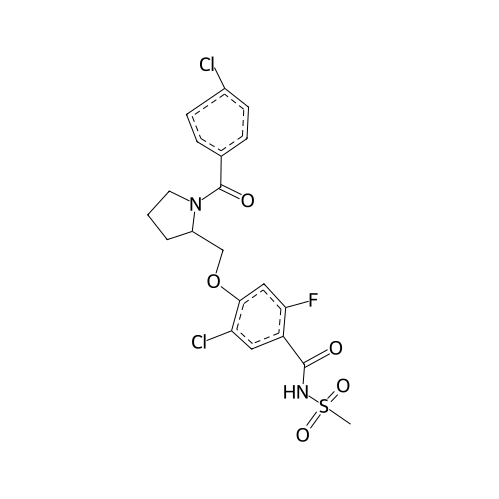 CS(=O)(=O)NC(=O)c1cc(Cl)c(OCC2CCCN2C(=O)c2ccc(Cl)cc2)cc1F